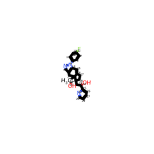 CC12Cc3cnn(-c4ccc(F)cc4)c3C=C1CC[C@@]2(CO)CC(O)c1ccccn1